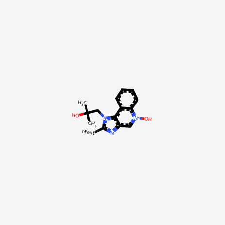 CCCCCc1nc2c[n+](O)c3ccccc3c2n1CC(C)(C)O